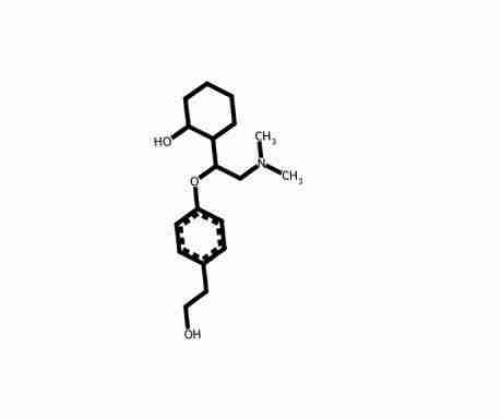 CN(C)CC(Oc1ccc(CCO)cc1)C1CCCCC1O